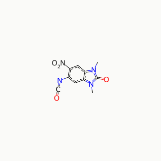 Cn1c(=O)n(C)c2cc([N+](=O)[O-])c(N=C=O)cc21